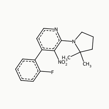 CC1(C)CCCN1c1nccc(-c2ccccc2F)c1[N+](=O)[O-]